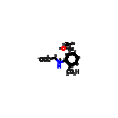 CC(=O)[O-].O=C([O-])CNc1ccccc1C(=O)O.[Zn+2]